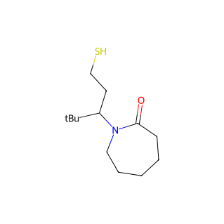 CC(C)(C)C(CCS)N1CCCCCC1=O